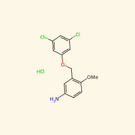 COc1ccc(N)cc1COc1cc(Cl)cc(Cl)c1.Cl